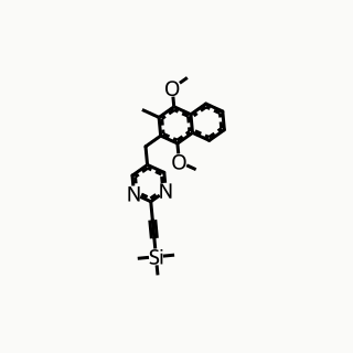 COc1c(C)c(Cc2cnc(C#C[Si](C)(C)C)nc2)c(OC)c2ccccc12